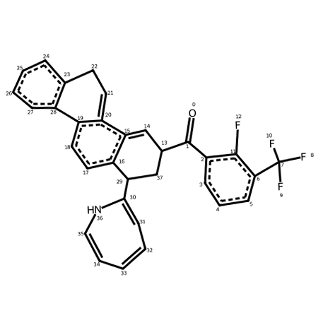 O=C(c1cccc(C(F)(F)F)c1F)C1C=c2c(ccc3c2=CCc2ccccc2-3)C(C2=CC=CC=CN2)C1